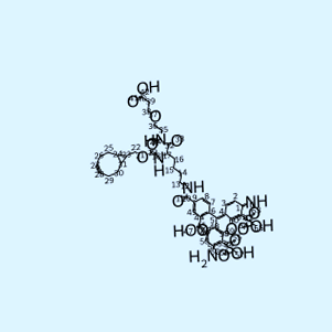 N=c1ccc2c(-c3ccc(C(=O)NCCCCC(NC(=O)OCC4C5CCC#CCCC54)C(=O)NCCOCCC(=O)O)cc3C(=O)O)c3ccc(N)c(S(=O)(=O)O)c3oc-2c1S(=O)(=O)O